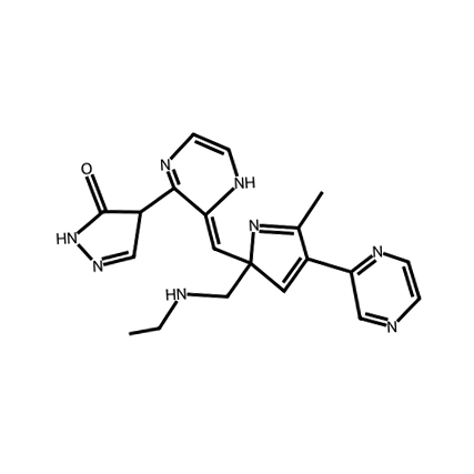 CCNCC1(C=C2NC=CN=C2C2C=NNC2=O)C=C(c2cnccn2)C(C)=N1